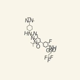 CC(C)n1c(=O)c(-c2ccc(NS(=O)(=O)CCC(F)(F)F)c(F)c2)cc2cnc(NC3CCC(c4nccn4C)CC3)nc21